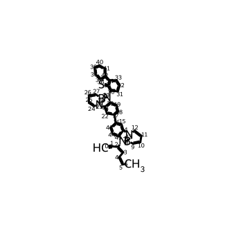 C#C/C(=C\C=C/C)N1B2C=CC=CN2c2cc(-c3ccc4c(c3)N3C=CC=CB3N4c3cccc4c3sc3ccccc34)ccc21